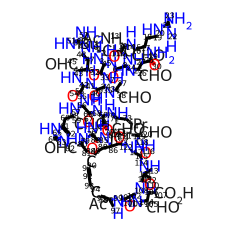 CC[C@@H](C)[C@H](C=O)N[C@H](NC(=O)[C@@H](NC(=O)[C@@H](NC(C)=O)N[C@@H](C=O)CCCNC(=N)N)N[C@@H](C=O)CC(N)=O)C(=O)N[C@@H](N[C@@H](C)C=O)C(=O)N[C@@H](N[C@@H](C=O)CCCNC(=N)N)C(=O)N[C@@H](N[C@@H](C=O)Cc1cnc[nH]1)C(=O)N[C@@H](N[C@@H](C=O)CC(C)C)C(=O)N[C@@H](N[C@@H](C)C=O)C(=O)N[C@@]1(C)CCC/C=C\CCC[C@@](C)(C(C)=O)NC(=O)[C@H](N[C@@H](C=O)CC(=O)O)NC(=O)C(C)(C)NC(=O)[C@H](N[C@@H](C=O)C(C)C)NC1=O